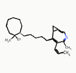 C/C=C\C1=C(CCCCC[C@@H]2CCCCCC[C@]2(C)CC)C2CC2=CN=C1C